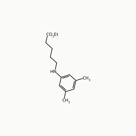 CCOC(=O)CCCCNc1cc(C)cc(C)c1